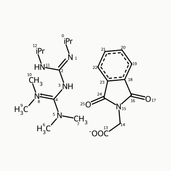 CC(C)N=C(NC(N(C)C)=[N+](C)C)NC(C)C.O=C([O-])CN1C(=O)c2ccccc2C1=O